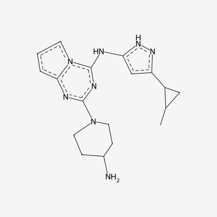 CC1CC1c1cc(Nc2nc(N3CCC(N)CC3)nc3cccn23)[nH]n1